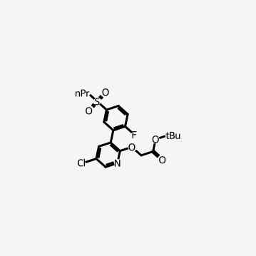 CCCS(=O)(=O)c1ccc(F)c(-c2cc(Cl)cnc2OCC(=O)OC(C)(C)C)c1